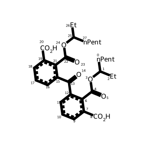 CCCCCC(CC)OC(=O)c1c(C(=O)O)cccc1C(=O)c1cccc(C(=O)O)c1C(=O)OC(CC)CCCCC